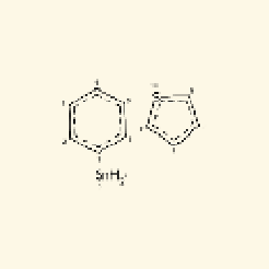 [SnH2].c1ccccc1.c1ccsc1